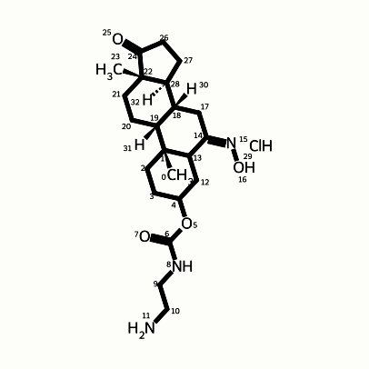 C[C@]12CCC(OC(=O)NCCN)CC1/C(=N\O)C[C@@H]1[C@H]2CC[C@]2(C)C(=O)CC[C@@H]12.Cl